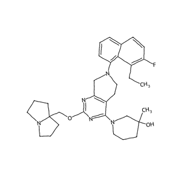 CCc1c(F)ccc2cccc(N3CCc4c(nc(OCC56CCCN5CCC6)nc4N4CCCC(C)(O)C4)C3)c12